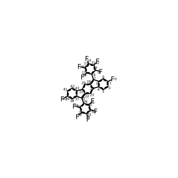 Fc1ccc2c(c1)C(c1c(F)c(F)c(F)c(F)c1F)=c1cc3c(cc1-2)=C(c1c(F)c(F)c(F)c(F)c1F)c1cc(F)ccc1-3